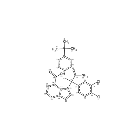 CC(C)(C)c1ccc(CC(C(N)=O)(c2ccc(Cl)c(Cl)c2)n2ccc3ccnc(C(=O)O)c32)cc1